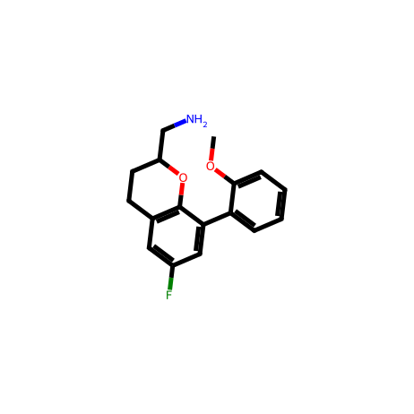 COc1ccccc1-c1cc(F)cc2c1OC(CN)CC2